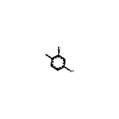 CCc1cc(S)ccc1C